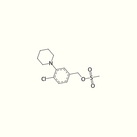 CS(=O)(=O)OCc1ccc(Cl)c(N2CCCCC2)c1